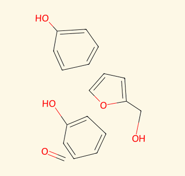 C=O.OCc1ccco1.Oc1ccccc1.Oc1ccccc1